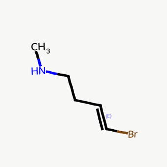 CNCC/C=C/Br